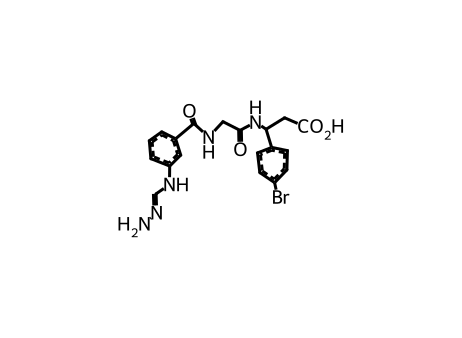 NN=CNc1cccc(C(=O)NCC(=O)NC(CC(=O)O)c2ccc(Br)cc2)c1